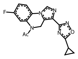 CC(=O)N1Cc2c(-c3noc(C4CC4)n3)ncn2-c2ccc(F)cc21